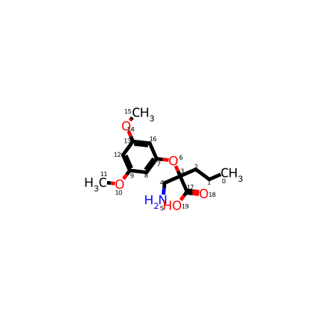 CCCC(CN)(Oc1cc(OC)cc(OC)c1)C(=O)O